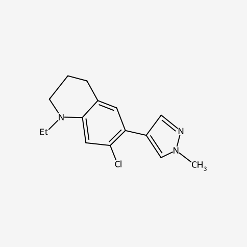 CCN1CCCc2cc(-c3cnn(C)c3)c(Cl)cc21